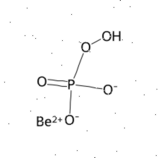 O=P([O-])([O-])OO.[Be+2]